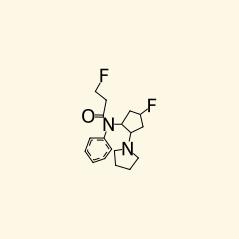 O=C(CCF)N(c1ccccc1)C1CC(F)CC1N1CCCC1